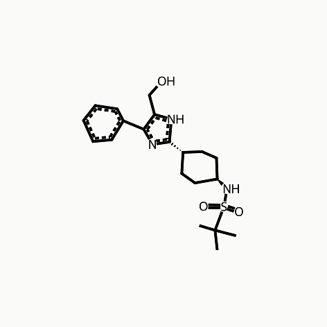 CC(C)(C)S(=O)(=O)N[C@H]1CC[C@H](c2nc(-c3ccccc3)c(CO)[nH]2)CC1